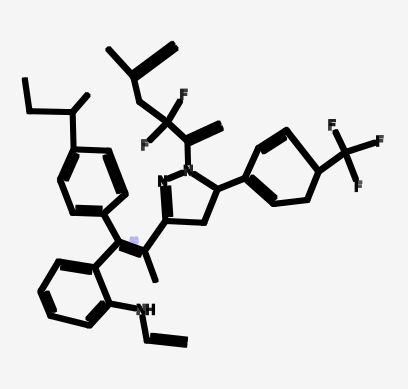 C=CNc1ccccc1/C(=C(\C)C1=NN(C(=C)C(F)(F)CC(=C)C)C(C2=CCC(C(F)(F)F)C=C2)C1)c1ccc(C(C)CC)cc1